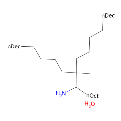 CCCCCCCCCCCCCCC(C)(CCCCCCCCCCCCCC)C(N)CCCCCCCC.O